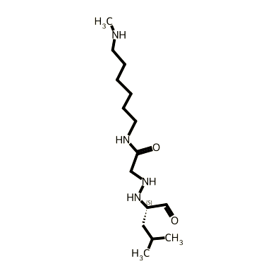 CNCCCCCCNC(=O)CNN[C@H](C=O)CC(C)C